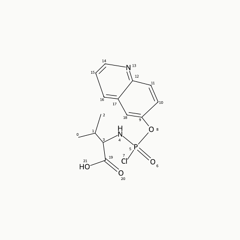 CC(C)C(NP(=O)(Cl)Oc1ccc2ncccc2c1)C(=O)O